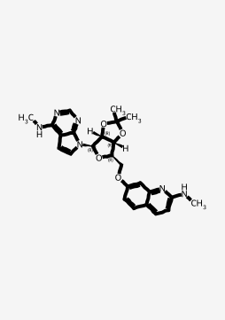 CNc1ccc2ccc(OC[C@H]3O[C@@H](n4ccc5c(NC)ncnc54)[C@@H]4OC(C)(C)O[C@@H]43)cc2n1